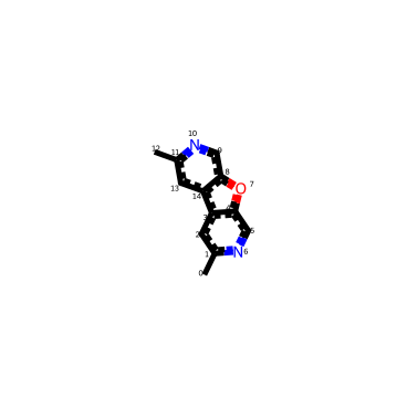 Cc1cc2c(cn1)oc1cnc(C)cc12